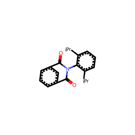 CC(C)c1cccc(C(C)C)c1N1C(=O)c2cccc(c2)C1=O